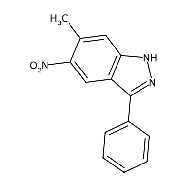 Cc1cc2[nH]nc(-c3ccccc3)c2cc1[N+](=O)[O-]